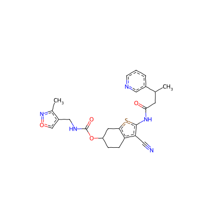 Cc1nocc1CNC(=O)OC1CCc2c(sc(NC(=O)CC(C)c3cccnc3)c2C#N)C1